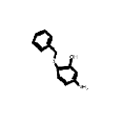 Nc1ccc(SCc2ccccc2)c(O)c1